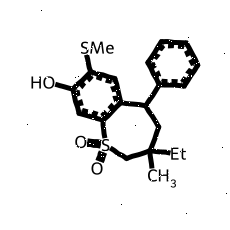 CCC1(C)CC(c2ccccc2)c2cc(SC)c(O)cc2S(=O)(=O)C1